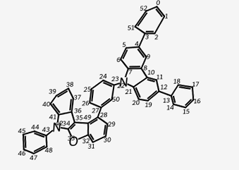 c1ccc(-c2ccc3c(c2)c2cc(-c4ccccc4)ccc2n3-c2cccc(-c3cccc4oc5c(c6ccccc6n5-c5ccccc5)c34)c2)cc1